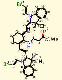 COC(=O)CCNC1=C(/C=C/C2=[N+](/C=C/Br)c3ccccc3C2(C)C)CCC/C1=C\C=C1\N(/C=C/Br)c2ccccc2C1(C)C